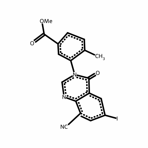 COC(=O)c1ccc(C)c(-n2cnc3c(C#N)cc(I)cc3c2=O)c1